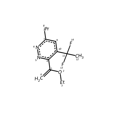 C=C(OCC)c1nnc(C(C)C)cc1C(C)(F)F